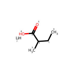 CCC(C)C(=O)O.[LiH]